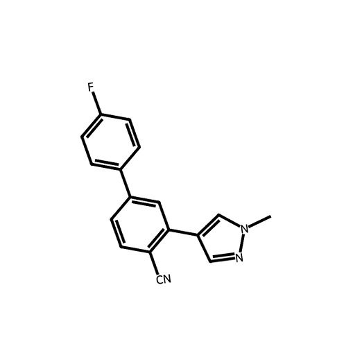 Cn1cc(-c2cc(-c3ccc(F)cc3)ccc2C#N)cn1